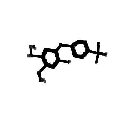 CNc1cc(Oc2ccc(C(F)(F)F)cc2)c(F)cc1OC